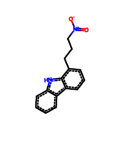 O=[N+]([O-])CCCc1cccc2c1[nH]c1ccccc12